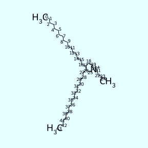 CCCCCCCCCCCCCCCCCc1cc[n+](CCCC)cc1CCCCCCCCCCCCCCCCC